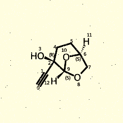 C#C[C@]1(O)CC[C@H]2CO[C@H]1O2